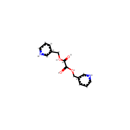 O=C(OCc1cccnc1)C(=O)OCc1cccnc1